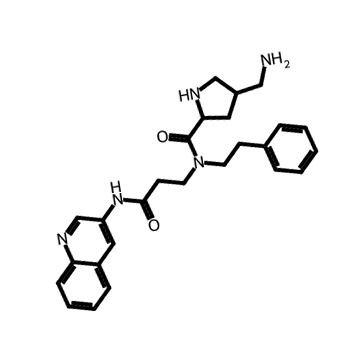 NCC1CNC(C(=O)N(CCC(=O)Nc2cnc3ccccc3c2)CCc2ccccc2)C1